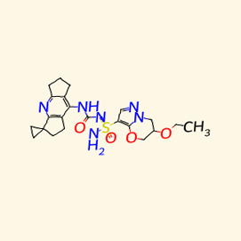 CCOC1COc2c(S(N)(=O)=NC(=O)Nc3c4c(nc5c3CCC53CC3)CCC4)cnn2C1